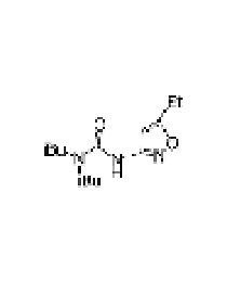 CCc1cc(NC(=O)N(C(C)CC)C(C)CC)no1